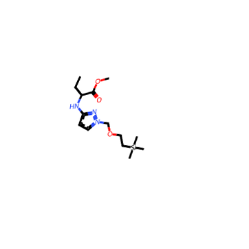 CCC(Nc1ccn(COCC[Si](C)(C)C)n1)C(=O)OC